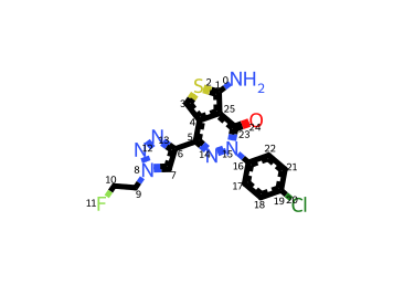 Nc1scc2c(-c3cn(CCF)nn3)nn(-c3ccc(Cl)cc3)c(=O)c12